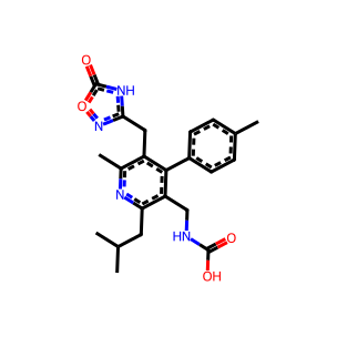 Cc1ccc(-c2c(Cc3noc(=O)[nH]3)c(C)nc(CC(C)C)c2CNC(=O)O)cc1